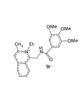 CC[n+]1c(C)cc2ccccc2c1CNC(=O)c1cc(OC)c(OC)c(OC)c1.[Br-]